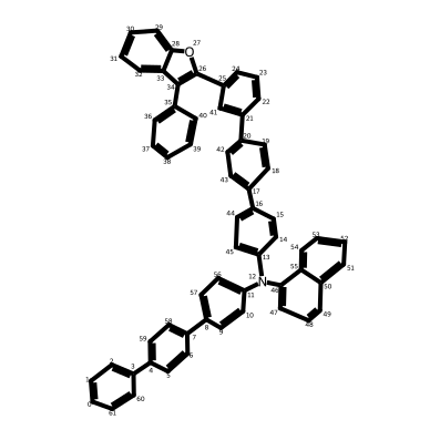 c1ccc(-c2ccc(-c3ccc(N(c4ccc(-c5ccc(-c6cccc(-c7oc8ccccc8c7-c7ccccc7)c6)cc5)cc4)c4cccc5ccccc45)cc3)cc2)cc1